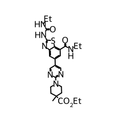 CCNC(=O)Nc1nc2cc(-c3cnc(N4CCC(C)(C(=O)OCC)CC4)nc3)cc(C(=O)NCC)c2s1